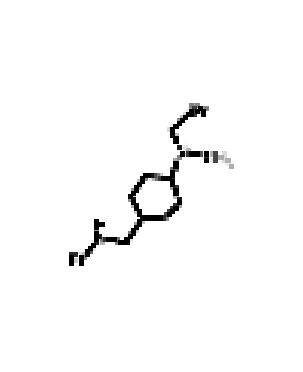 CCNCC1CCC(N(C)CC(C)C)CC1